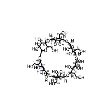 OCC[C@H]1OC2OC(CO)[C@@H](O[C@H]3OC(CO)[C@@H](O[C@H]4OC(CO)[C@@H](O[C@@H](O)/C(O)=C(\O)[C@@H](CCO)O[C@H]5OC(CO)[C@@H](O[C@@H](O)/C(O)=C\1O)C(O)C5O)C(O)C4O)C(O)C3O)C(O)[C@@H]2O